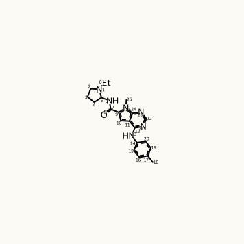 CCN1CCCC1NC(=O)c1cc2c(Nc3ccc(C)cc3)ncnc2n1C